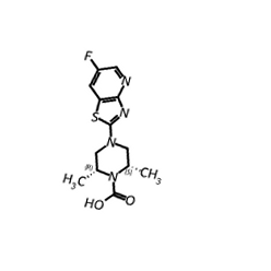 C[C@@H]1CN(c2nc3ncc(F)cc3s2)C[C@H](C)N1C(=O)O